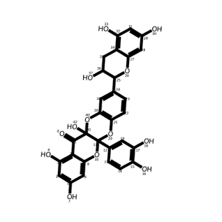 O=C1c2c(O)cc(O)cc2OC2(c3ccc(O)c(O)c3)Oc3ccc(C4Oc5cc(O)cc(O)c5CC4O)cc3OC12O